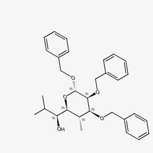 CC(C)[C@H](O)[C@H]1O[C@H](OCc2ccccc2)[C@@H](OCc2ccccc2)[C@@H](OCc2ccccc2)[C@@H]1C